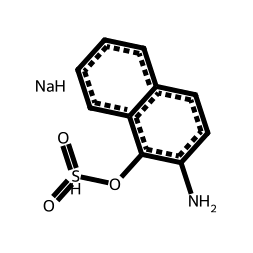 Nc1ccc2ccccc2c1O[SH](=O)=O.[NaH]